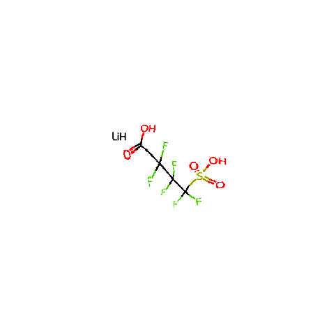 O=C(O)C(F)(F)C(F)(F)C(F)(F)S(=O)(=O)O.[LiH]